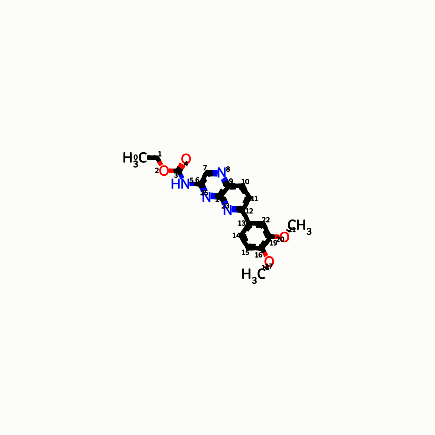 CCOC(=O)Nc1cnc2ccc(-c3ccc(OC)c(OC)c3)nc2n1